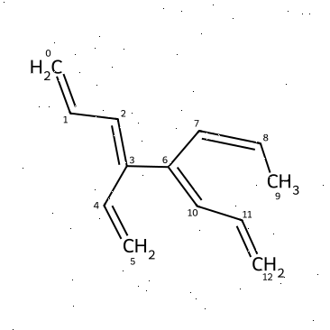 C=C/C=C(C=C)/C(/C=C\C)=C/C=C